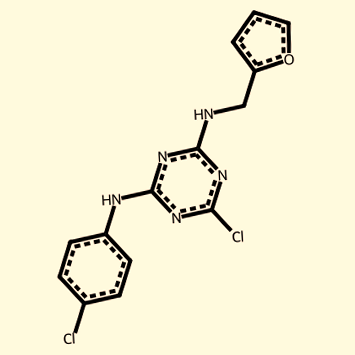 Clc1ccc(Nc2nc(Cl)nc(NCc3ccco3)n2)cc1